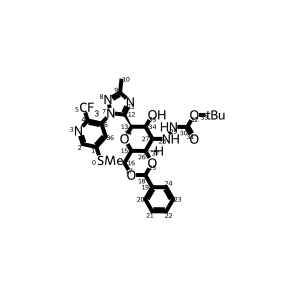 CSc1cnc(C(F)(F)F)c(-n2nc(C)nc2[C@@H]2OC3COC(c4ccccc4)O[C@@H]3C(NNC(=O)OC(C)(C)C)C2O)c1